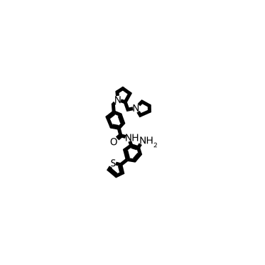 Nc1ccc(-c2cccs2)cc1NC(=O)c1ccc(CN2CCCC2CN2CCCC2)cc1